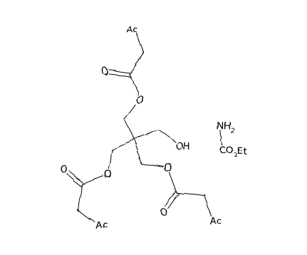 CC(=O)CC(=O)OCC(CO)(COC(=O)CC(C)=O)COC(=O)CC(C)=O.CCOC(N)=O